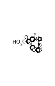 O=C(O)c1cn(C2CCOCC2)c2cc(N3CCC[C@@H]3COc3ccccn3)c(F)cc2c1=O